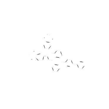 Cc1cc2c3c(c1)N(c1ccc4c(c1)C(C)(C)CCC4(C)C)c1c(sc4cc5c(cc14)C(C)(C)CCC5(C)C)B3c1cc(C(C)(C)C)ccc1N2c1ccc(-c2ccccc2C)cc1C